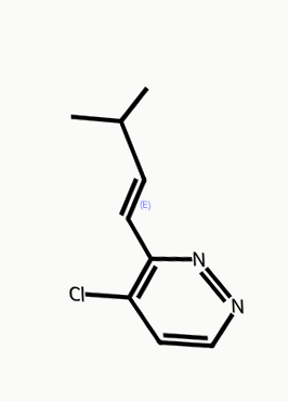 CC(C)/C=C/c1nnccc1Cl